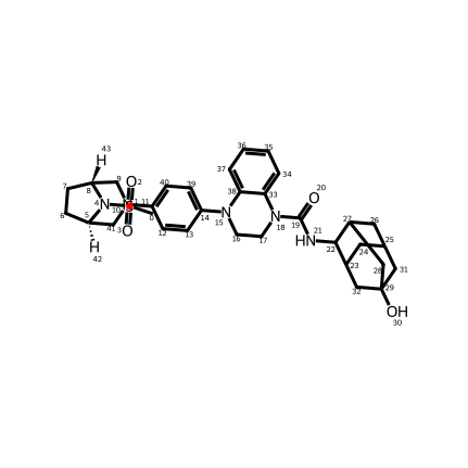 CS(=O)(=O)N1[C@@H]2CC[C@@H]1CN(c1ccc(N3CCN(C(=O)NC4C5CC6CC4CC(O)(C6)C5)c4ccccc43)cc1)C2